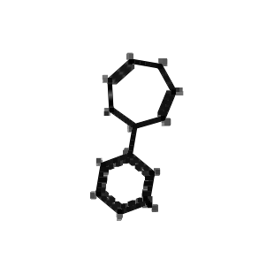 C1=CCC(c2cccnc2)C=CC1